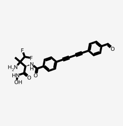 CC(N)(C(F)F)[C@H](NC(=O)c1ccc(C#CC#Cc2ccc(C=O)cc2)cc1)C(=O)NO